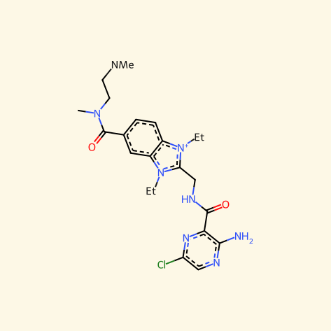 CCn1c(CNC(=O)c2nc(Cl)cnc2N)[n+](CC)c2ccc(C(=O)N(C)CCNC)cc21